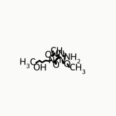 CCOCn1c(N)nc2c1c(=O)n(CCCCC(C)O)c(=O)n2C